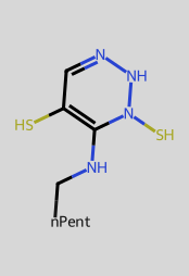 CCCCCCNC1=C(S)C=NNN1S